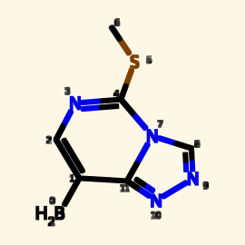 Bc1cnc(SC)n2cnnc12